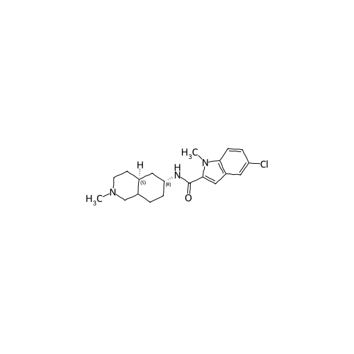 CN1CC[C@H]2C[C@H](NC(=O)c3cc4cc(Cl)ccc4n3C)CCC2C1